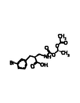 CC(=O)O[C@H](C)OC(=O)NC[C@H](Cc1cccc(Br)c1)C(=O)O